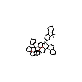 CC1(C)c2ccccc2-c2ccc(N(c3ccc(C(c4ccccc4)(c4ccccc4)c4ccccc4)cc3)c3ccc4ccccc4c3-c3ccc(-c4ccccc4)cc3)cc21